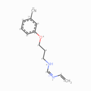 C=C/N=C\NCCCOc1cccc(C#N)c1